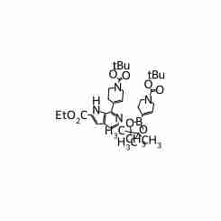 CC(C)(C)OC(=O)N1CC=C(B2OC(C)(C)C(C)(C)O2)CC1.CCOC(=O)c1cc2ccnc(C3=CCN(C(=O)OC(C)(C)C)CC3)c2[nH]1